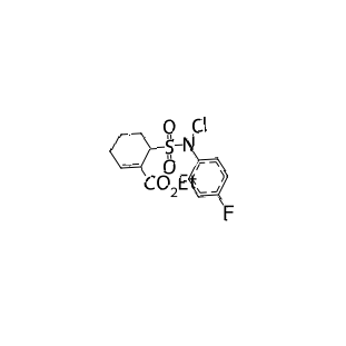 CCOC(=O)C1=CCCCC1S(=O)(=O)N(Cl)c1ccc(F)cc1